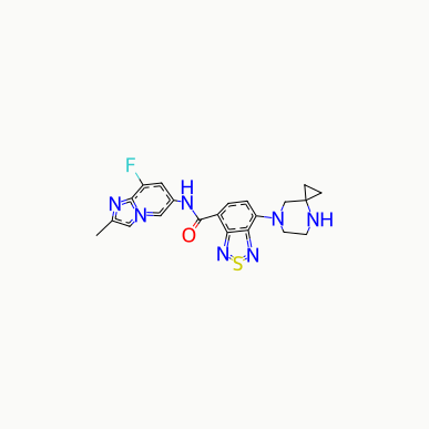 Cc1cn2cc(NC(=O)c3ccc(N4CCNC5(CC5)C4)c4nsnc34)cc(F)c2n1